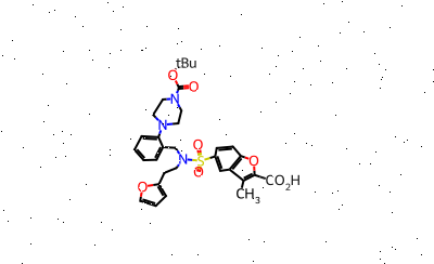 Cc1c(C(=O)O)oc2ccc(S(=O)(=O)N(CCc3ccco3)Cc3ccccc3N3CCN(C(=O)OC(C)(C)C)CC3)cc12